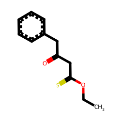 CCOC(=S)CC(=O)Cc1ccccc1